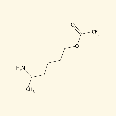 CC(N)CCCCOC(=O)C(F)(F)F